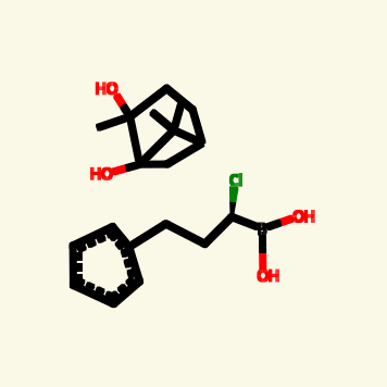 CC1(O)CCC2CC1(O)C2(C)C.OB(O)[C@H](Cl)CCc1ccccc1